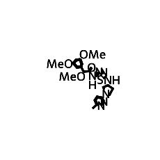 COc1cc(OC)cc(C(OC)C(=O)Nc2nnc(NC3CCN(c4ccc(C)nn4)C3)s2)c1